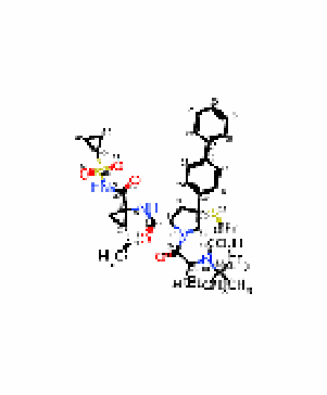 C=C[C@@H]1C[C@]1(NC(=O)[C@@H]1C[C@@](SC(C)C)(c2ccc(-c3ccccc3)cc2)CN1C(=O)[C@@H](N(C(=O)O)C(C)(C)C(F)(F)F)C(C)(C)C)C(=O)NS(=O)(=O)C1CC1